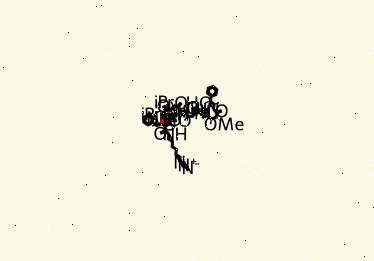 CC[C@H](C)[C@@H]([C@@H](CC(=O)N1CCC([C@H](OC)[C@@H](C)C(=O)N[C@H](C)[C@@H](O)c2ccccc2)C1)OC)N(C)C(=O)[C@@H](NC(=O)[C@H](C(C)C)N(C)P(=O)(O)OC(CCc1ccccn1)C(=O)NCCCCCCN=[N+]=[N-])C(C)C